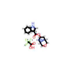 O=C(O)C(F)(F)F.O=C(OC1CC2COCC(C1)N2)c1c[nH]c2ccccc12